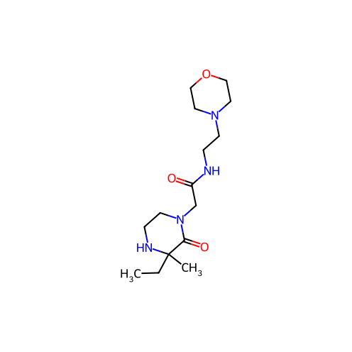 CCC1(C)NCCN(CC(=O)NCCN2CCOCC2)C1=O